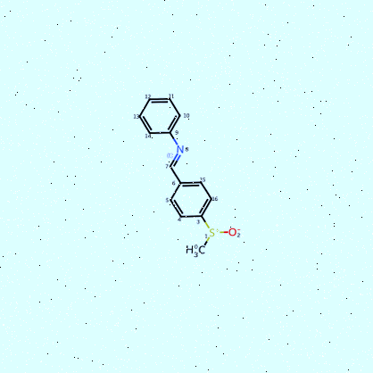 C[S+]([O-])c1ccc(/C=N/c2ccccc2)cc1